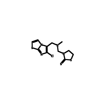 CN(Cc1c(Cl)nc2sccn12)CN1CCSC1=S